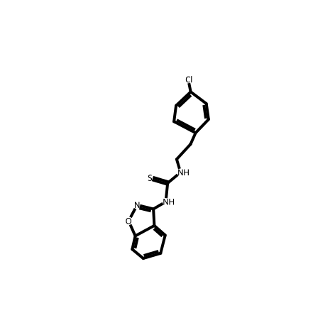 S=C(NCCc1ccc(Cl)cc1)Nc1noc2ccccc12